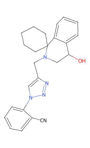 N#Cc1ccccc1-n1cc(CN2CC(O)c3ccccc3C23CCCCC3)nn1